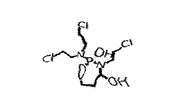 OC1CCO[P](O)(N(CCCl)CCCl)N1CCCl